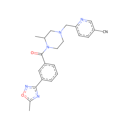 Cc1nc(-c2cccc(C(=O)N3CCN(Cc4ccc(C#N)cn4)CC3C)c2)no1